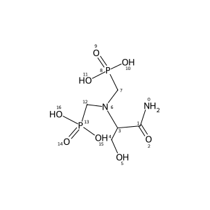 NC(=O)C(CO)N(CP(=O)(O)O)CP(=O)(O)O